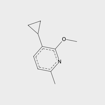 COc1nc(C)ccc1C1CC1